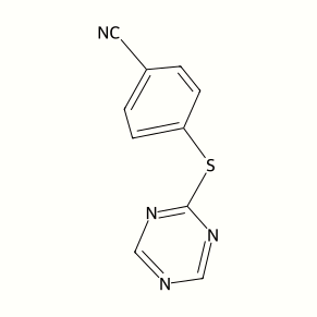 N#Cc1ccc(Sc2ncncn2)cc1